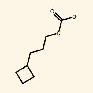 [O]C(=O)OCCCC1CCC1